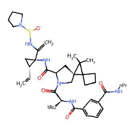 C=C[C@@H]1C[C@]1(NC(=O)C1C[C@@]2(CN1C(=O)[C@@H](NC(=O)c1cccc(C(=O)NCCC)c1)C(C)(C)C)C(C)(C)C21CCC1)C(=C)N[S+]([O-])N1CCCC1